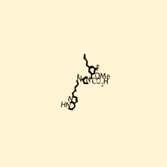 C=CCCc1cc(F)c(OC)c([C@H](C(=O)O)N2CC[C@@H](N(C)CCCCCc3ccc4c(n3)NCCC4)C2)c1